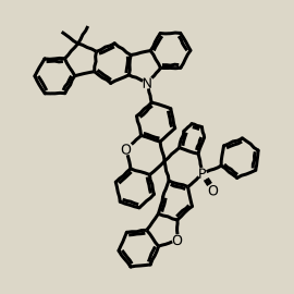 CC1(C)c2ccccc2-c2cc3c(cc21)c1ccccc1n3-c1ccc2c(c1)Oc1ccccc1C21c2ccccc2P(=O)(c2ccccc2)c2cc3oc4ccccc4c3cc21